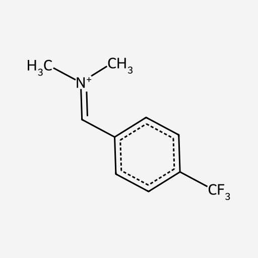 C[N+](C)=Cc1ccc(C(F)(F)F)cc1